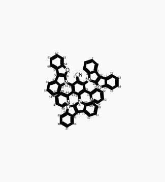 N#Cc1c(-n2c3ccccc3c3c4ccccc4oc32)c(-c2ccccn2)c(-n2c3ccccc3c3c4ccccc4oc32)c(-c2ccccn2)c1-n1c2ccccc2c2c3ccccc3oc21